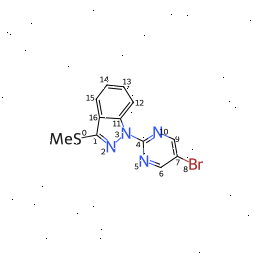 CSc1nn(-c2ncc(Br)cn2)c2c[c]ccc12